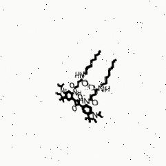 CCCCCCCCNC(=O)CCC(=O)Nc1cc2c(cc1C1=C([O-])/C(=c3/cc4c(cc3NC(=O)CCC(=O)NCCCCCCCC)=[N+](C(C)C)C(C)C4(C)C)C1=O)C(C)(C)C(C)N2C(C)C